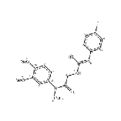 CCCCCN(C(=O)CNC(S)=Nc1ccc(F)cc1)c1ccc(OC)c(OC)c1